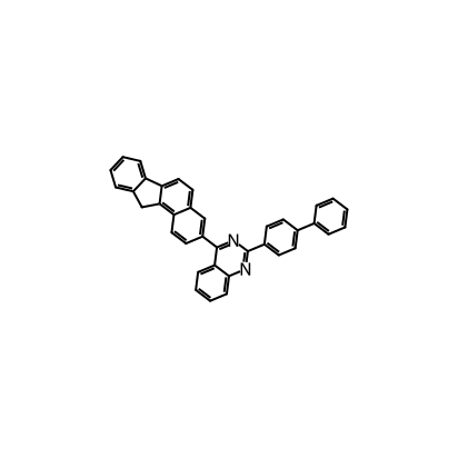 c1ccc(-c2ccc(-c3nc(-c4ccc5c6c(ccc5c4)-c4ccccc4C6)c4ccccc4n3)cc2)cc1